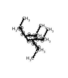 CCCCCCCSCC(C)C(=O)OCCOC(=O)CCN(CCCN(C)CCCN(CCC(=O)OCCOC(=O)C(C)CSCCCCCCC)CCC(=O)OCCOC(=O)C(C)CSCCCCCCC)CCC(=O)OCCOC(=O)C(C)CSCCCCCCC